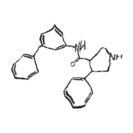 O=C(Nc1cccc(-c2ccccc2)c1)C1CNCC1c1ccccc1